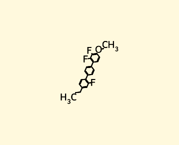 CCCc1ccc(-c2ccc(-c3ccc(OCC)c(F)c3F)cc2)c(F)c1